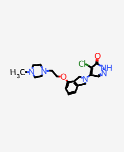 CN1CCN(CCOc2cccc3c2CN(c2cn[nH]c(=O)c2Cl)C3)CC1